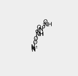 [N-]=[N+]=NCCOCCOCCNc1cccc(C(=O)Nc2ccc3c(c2)CC(=O)N3)n1